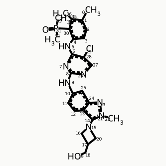 Cc1ccc(Nc2nc(Nc3ccc4c(N5CC(CO)C5)n(C)nc4c3)ncc2Cl)c(P(C)(C)=O)c1C